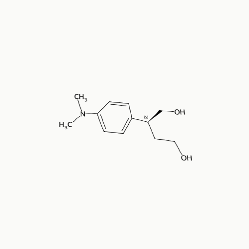 CN(C)c1ccc([C@@H](CO)CCO)cc1